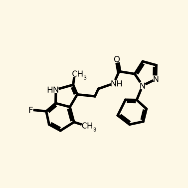 Cc1[nH]c2c(F)ccc(C)c2c1CCNC(=O)c1ccnn1-c1ccccc1